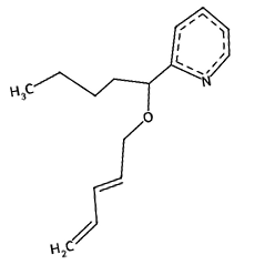 C=CC=CCOC(CCCC)c1ccccn1